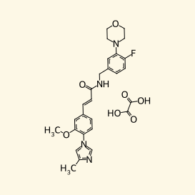 COc1cc(C=CC(=O)NCc2ccc(F)c(N3CCOCC3)c2)ccc1-n1cnc(C)c1.O=C(O)C(=O)O